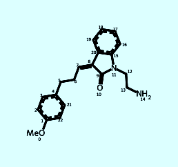 COc1ccc(CCC=C2C(=O)N(CCN)c3ccccc32)cc1